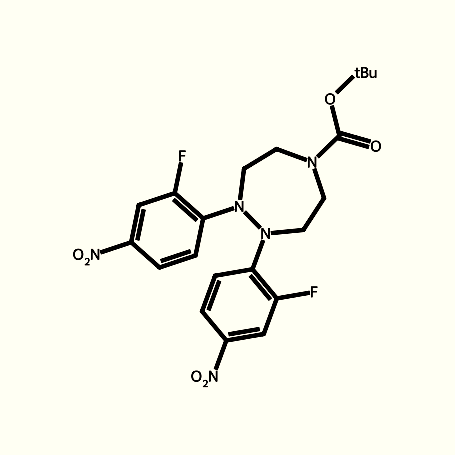 CC(C)(C)OC(=O)N1CCN(c2ccc([N+](=O)[O-])cc2F)N(c2ccc([N+](=O)[O-])cc2F)CC1